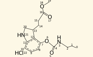 CCCNC(=O)Oc1cccc2c1C(CCC(=O)OC)CN2.Cl